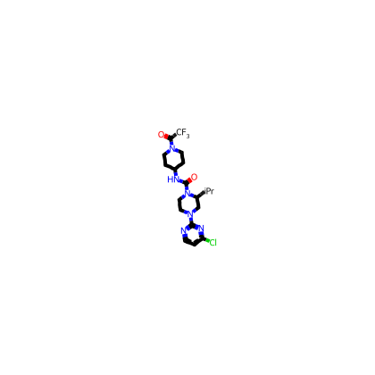 CC(C)C1CN(c2nccc(Cl)n2)CCN1C(=O)NC1CCN(C(=O)C(F)(F)F)CC1